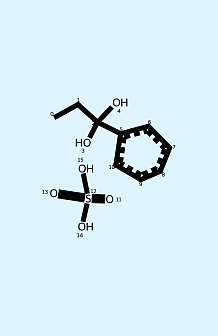 CCC(O)(O)c1ccccc1.O=S(=O)(O)O